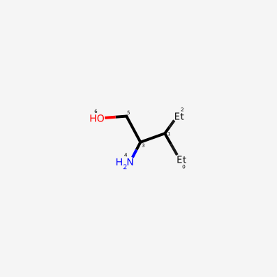 CCC(CC)C(N)CO